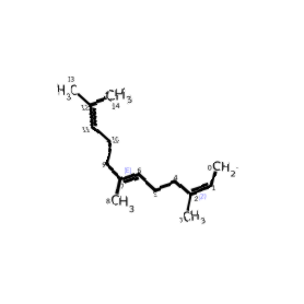 [CH2]/C=C(/C)CC/C=C(\C)CCC=C(C)C